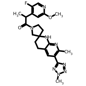 COc1cc(C(C)C(=O)N2CCC3(CCc4cc(-c5nnn(C)n5)c(C)nc4N3)C2)c(F)cn1